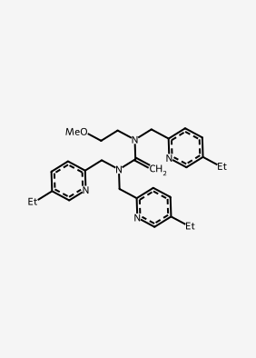 C=C(N(CCOC)Cc1ccc(CC)cn1)N(Cc1ccc(CC)cn1)Cc1ccc(CC)cn1